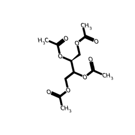 CC(=O)OCC(OC(C)=O)[C@H](COC(C)=O)OC(C)=O